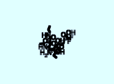 CCCNC(=O)O[C@H]1OC(C(=O)O)(C(O)CC)C(C(O)CC)[C@H](N)[C@H]1NC(C)=O.O=C(O)C(F)(F)F